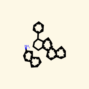 Nc1ccc2ccccc2c1.c1ccc(C2CCCc3c2ccc2c3ccc3ccccc32)cc1